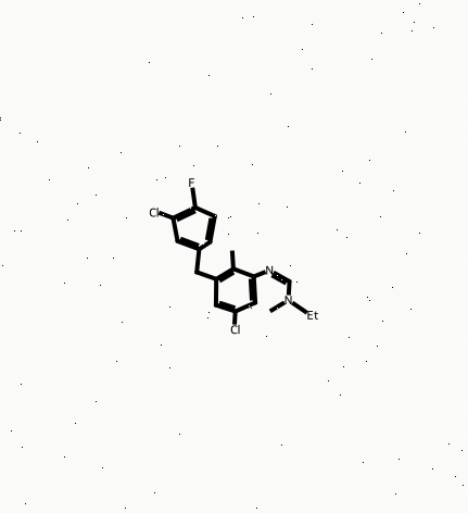 CCN(C)/C=N\c1cc(Cl)cc(Cc2ccc(F)c(Cl)c2)c1C